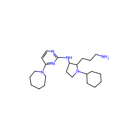 NCCCC1C(Nc2nccc(N3CCCCCC3)n2)CCN1C1CCCCC1